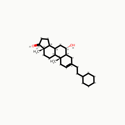 C[C@]12CC=C(CCC3CCCCC3)CC1[C@@H](O)CC1C2CC[C@]2(C)C(=O)CCC12